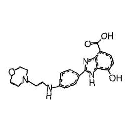 O=C(O)c1ccc(O)c2[nH]c(-c3ccc(NCCN4CCOCC4)cc3)nc12